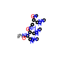 CC(C)NC(=O)c1cccc(-c2ccc3ncc(N4CCCCC4)nc3c2)c1.O=C(NCc1ccccc1)c1cccc(-c2ccc3ncc(N4CCCCC4)nc3c2)c1.O=C(c1cccc(-c2ccc3ncc(N4CCCCC4)nc3c2)c1)N1CCCC1